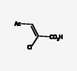 CC(=O)/C=C(\Cl)C(=O)O